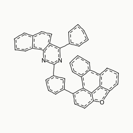 c1ccc(-c2nc(-c3cccc(-c4ccc5oc6cccc7c8ccccc8c4c5c67)c3)nc3c2ccc2ccccc23)cc1